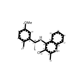 COc1ccc(F)c([C@@H](C)Nc2c(Cl)c(C)nc3ccccc23)c1